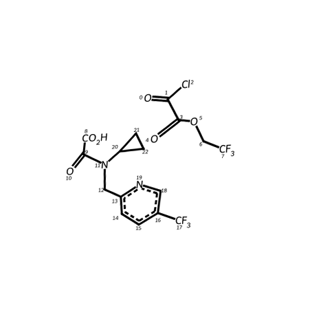 O=C(Cl)C(=O)OCC(F)(F)F.O=C(O)C(=O)N(Cc1ccc(C(F)(F)F)cn1)C1CC1